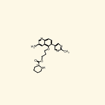 Cc1ncc(-c2ccc3ncc(N)cc3c2OCCCOC(=O)[C@@H]2CCCCN2)cn1